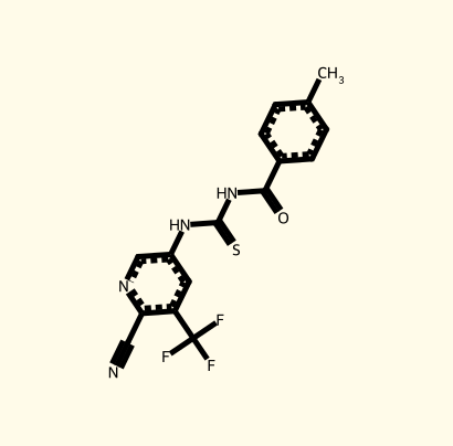 Cc1ccc(C(=O)NC(=S)Nc2cnc(C#N)c(C(F)(F)F)c2)cc1